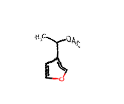 [CH2]C(OC(C)=O)c1ccoc1